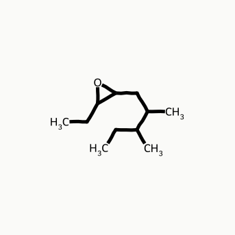 CCC(C)C(C)CC1OC1CC